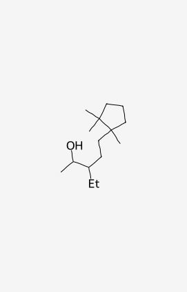 CCC(CCC1(C)CCCC1(C)C)C(C)O